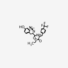 CCOC(=O)C(Cc1ccc(C(F)(F)F)cc1)NC(=O)C(Cc1ccc(O)cc1)N=[N+]=[N-]